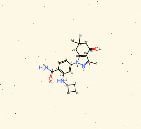 Cc1nn(-c2ccc(C(N)=O)c(NC3CCC3)c2)c2c1C(=O)CC(C)(C)C2